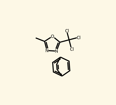 Cc1nnc(C(Cl)(Cl)Cl)o1.c1cc2ccc1cc2